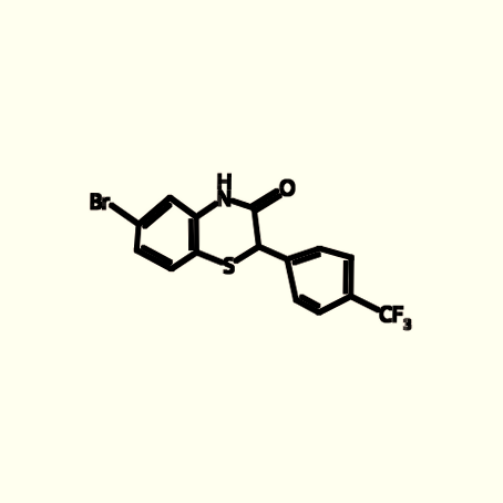 O=C1Nc2cc(Br)ccc2SC1c1ccc(C(F)(F)F)cc1